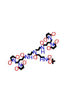 CC(C)(C)OC(=O)NCCCC(=O)N(CCCNC(=O)CCC(CN1C(=O)C=CC1=O)N1C(=O)C=CC1=O)CCCNC(=O)CCC(CN1C(=O)C=CC1=O)N1C(=O)C=CC1=O